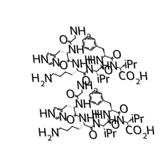 CC(C)[C@H](NC(=O)[C@H](Cc1ccccc1)NC(=O)[C@@H](NC(=O)[C@H](CCCCN)NC(=O)[C@H](Cc1c[nH]cn1)NC(=O)CN)C(C)C)C(=O)O.CC(C)[C@H](NC(=O)[C@H](Cc1ccccc1)NC(=O)[C@@H](NC(=O)[C@H](CCCCN)NC(=O)[C@H](Cc1c[nH]cn1)NC(=O)CN)C(C)C)C(=O)O